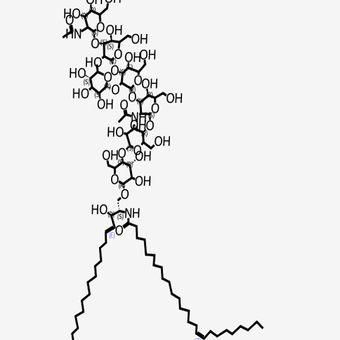 CCCCCCCC/C=C\CCCCCCCCCCCCCCCC(=O)N[C@@H](CO[C@@H]1OC(CO)[C@@H](O[C@@H]2OC(CO)[C@H](O[C@@H]3OC(CO)[C@H](O)[C@H](O[C@@H]4OC(CO)[C@H](O)[C@H](O[C@H]5OC(CO)[C@H](O)[C@H](O[C@@H]6OC(CO)[C@H](O)[C@H](O)C6NC(C)=O)C5O)C4O[C@H]4OC(C)[C@@H](O)C(O)[C@@H]4O)C3NC(C)=O)[C@H](O)C2O)[C@H](O)C1O)[C@H](O)/C=C/CCCCCCCCCCCCC